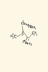 CC(N)C(C)O.N